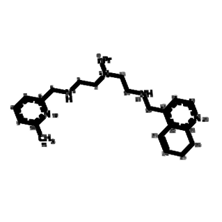 CCCN(CCNCc1cccc(C)n1)CCNCc1ccnc2c1C=CCC2